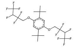 CC(C)(C)c1cc(OCC(F)(F)C(F)C(F)(F)F)c(C(C)(C)C)cc1OCC(F)(F)C(F)C(F)(F)F